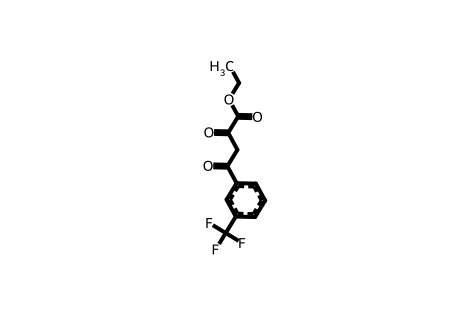 CCOC(=O)C(=O)CC(=O)c1cccc(C(F)(F)F)c1